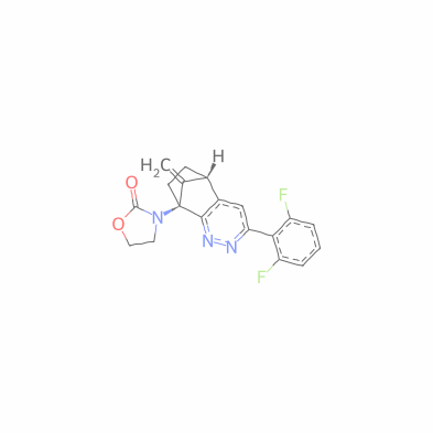 C=C1[C@@H]2CC[C@@]1(N1CCOC1=O)c1nnc(-c3c(F)cccc3F)cc12